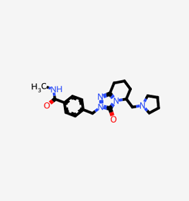 CNC(=O)c1ccc(Cn2nc3n(c2=O)C(CN2CCCC2)CCC3)cc1